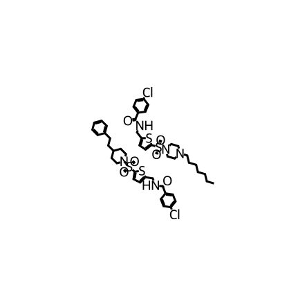 CCCCCCCN1CCN(S(=O)(=O)c2ccc(CNC(=O)c3ccc(Cl)cc3)s2)CC1.O=C(NCc1ccc(S(=O)(=O)N2CCC(CCc3ccccc3)CC2)s1)c1ccc(Cl)cc1